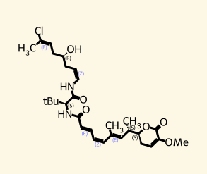 COC1=CC[C@@H]([C@@H](C)/C=C(C)/C=C\C=C\C(=O)N[C@H](C(=O)N/C=C\C[C@@H](O)C/C=C(\C)Cl)C(C)(C)C)OC1=O